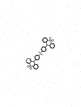 CS(C)(c1ccc(C2C3=CCCC=C3S(=O)(=O)c3ccccc32)cc1)c1ccc(C2c3ccccc3S(=O)(=O)c3ccccc32)cc1